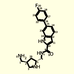 NC[C@@H]1CN[C@@H](CNC(=O)c2cc3ccc(-c4ccc(F)cc4)cc3[nH]2)C1